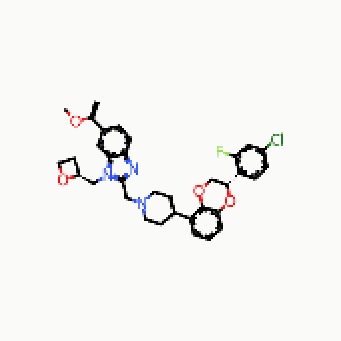 C=C(OC)c1ccc2nc(CN3CCC(c4cccc5c4OC[C@H](c4ccc(Cl)cc4F)O5)CC3)n(C[C@@H]3CCO3)c2c1